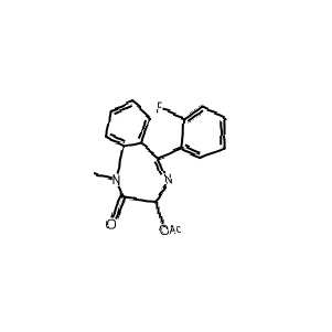 CC(=O)OC1N=C(c2ccccc2F)c2ccccc2N(C)C1=O